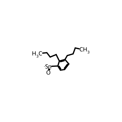 CCCCc1ccc[c]([Sn]=[O])c1CCCC